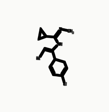 CC/C=C(/N/C(=N\C)C1CC1)C1C=CC(Cl)=CC1